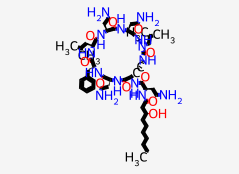 CCCCCCC[C@@H](O)CC(=O)N[C@H](CCN)C(=O)N[C@H]1CCNC(=O)N(CC(C)C)NC(=O)[C@H](CCN)NC(=O)[C@H](CCN)NC(=O)[C@H](CC(C)C)NC(=O)[C@@H](Cc2ccccc2)NC(=O)[C@@H](CCN)NC1=O